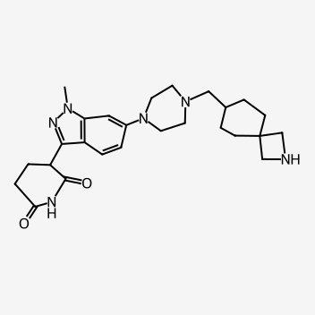 Cn1nc(C2CCC(=O)NC2=O)c2ccc(N3CCN(CC4CCC5(CC4)CNC5)CC3)cc21